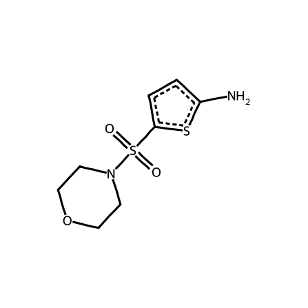 Nc1ccc(S(=O)(=O)N2CCOCC2)s1